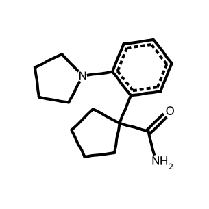 NC(=O)C1(c2ccccc2N2CCCC2)CCCC1